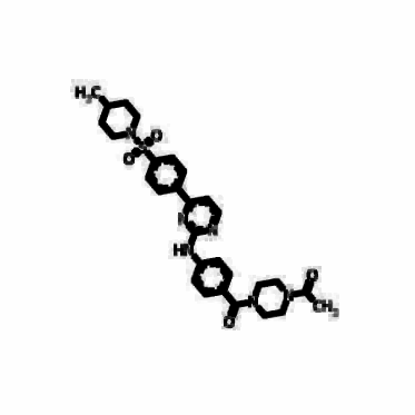 CC(=O)N1CCN(C(=O)c2ccc(Nc3nccc(-c4ccc(S(=O)(=O)N5CCC(C)CC5)cc4)n3)cc2)CC1